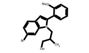 COc1ccccc1-c1cc2ccc(Br)cc2n1CC(C)CO